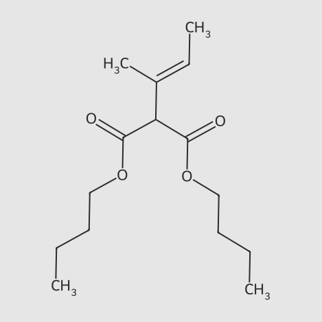 C/C=C(\C)C(C(=O)OCCCC)C(=O)OCCCC